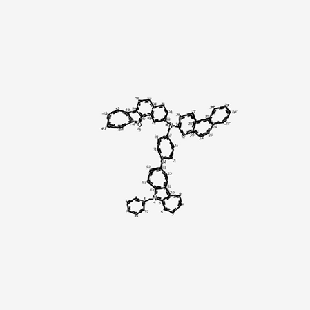 c1ccc(-n2c3ccccc3c3cc(-c4ccc(N(c5ccc6c(ccc7ccccc76)c5)c5ccc6ccc7c8ccccc8oc7c6c5)cc4)ccc32)cc1